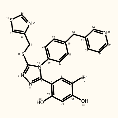 CC(C)c1cc(-c2nnc(SCc3cscn3)n2-c2ccc(Cc3cccnc3)cc2)c(O)cc1O